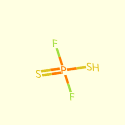 FP(F)(=S)S